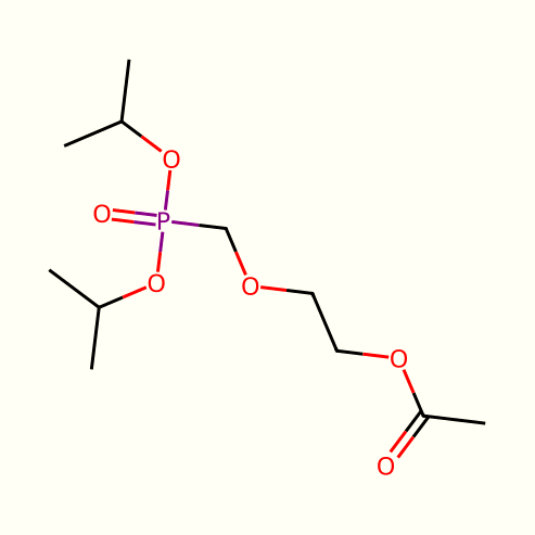 CC(=O)OCCOCP(=O)(OC(C)C)OC(C)C